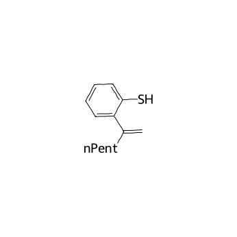 C=C(CCCCC)c1ccccc1S